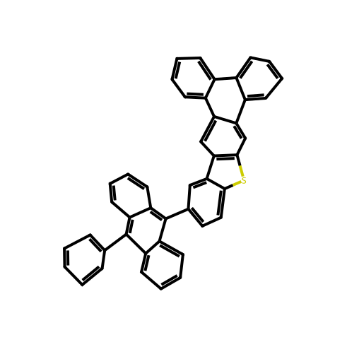 c1ccc(-c2c3ccccc3c(-c3ccc4sc5cc6c7ccccc7c7ccccc7c6cc5c4c3)c3ccccc23)cc1